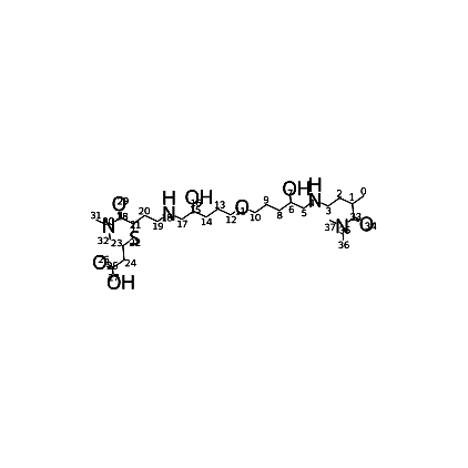 CC(CCNCC(O)CCCOCCCC(O)CNCCC(SCCC(=O)O)C(=O)N(C)C)C(=O)N(C)C